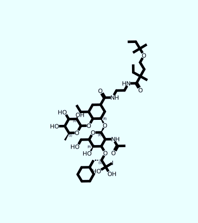 CCC1CC(C(=O)NCCNC(=O)C(C)(CC)CCOC(C)(C)CC)C[C@@H](O[C@@H]2OC(CO)[C@H](O)C(O[C@@H](CC3CCCCC3)C(O)(O)I)C2NC(C)=O)C1OC1O[C@@H](C)C(O)C(O)[C@@H]1O